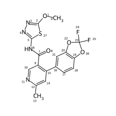 COc1nnc(NC(=O)c2cnc(C)cc2-c2ccc3c(c2)OC(F)(F)O3)s1